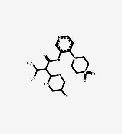 NC(N)C(C(=O)Nc1cnccc1N1CCS(=O)(=O)CC1)C1NCC(F)CN1